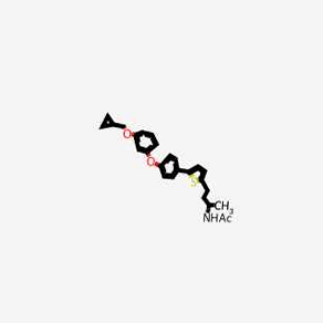 CC(=O)NC(C)CCc1ccc(-c2ccc(Oc3cccc(OCC4CC4)c3)cc2)s1